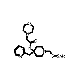 CSSCN1CCC(Cc2ccccn2)(NC(=O)CN2CCOCC2)CC1